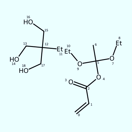 C=CC(=O)OC(C)(OCC)OCC.CCC(CO)(CO)CO